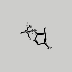 Cc1cc(Br)ccc1N[Si](C)(C)C(C)(C)C